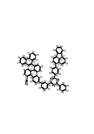 N#Cc1cccc(-c2ccccc2-c2cc3ccccc3c3ccccc23)c1-c1ccc(-c2cccc(-c3nc(-c4ccccc4)nc(-c4ccc(-c5ccc6c7c(cccc57)-c5ccccc5-6)cc4)n3)c2)cc1